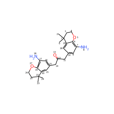 CC1(C)CCOc2c(N)cc(CC(=O)Cc3cc(N)c4c(c3)C(C)(C)CCO4)cc21